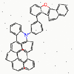 c1ccc(-c2ccc(N(c3cccc(-c4cccc5oc6c7ccccc7ccc6c45)c3)c3ccccc3-c3ccc4c(ccc5ccccc54)c3)cc2)cc1